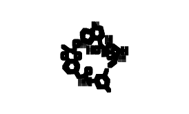 C=C[C@H]1C[N@]2CC[C@H]1C[C@H]2[C@H](O)c1ccnc2ccccc12.Cc1cc(C)cc(NC(=O)Cc2ccc(OC(C)C(=O)O)cc2)c1